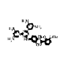 COc1cccc(C(=O)Nc2ccc(Nc3nc(N4C[C@H](N)C[C@H](N)C4)nc(N4C[C@H](N)C[C@H](N)C4)n3)cc2Cl)c1O